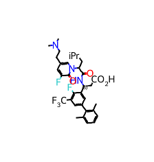 Cc1cccc(C)c1-c1cc([C@H](CC(=O)O)NC(=O)C(CC(C)C)n2cc(CCN(C)C)cc(F)c2=O)c(F)c(C(F)(F)F)c1